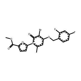 COC(=O)c1ccc(-n2c(C)cc(OCc3ccc(F)cc3F)c(Br)c2=O)o1